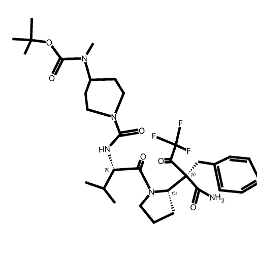 CC(C)[C@H](NC(=O)N1CCC(N(C)C(=O)OC(C)(C)C)CC1)C(=O)N1CCC[C@H]1[C@](Cc1ccccc1)(C(N)=O)C(=O)C(F)(F)F